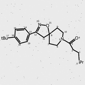 CC(C)CCC(=O)N1CCC2(CC1)CC(c1ccc(C(C)(C)C)cc1)=NO2